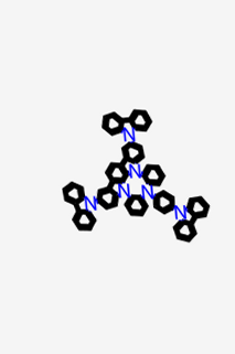 c1ccc2c(c1)c1ccccc1n2-c1ccc(-n2c3ccccc3n3c4ccc(-n5c6ccccc6c6ccccc65)cc4c4ccc5c6cc(-n7c8ccccc8c8ccccc87)ccc6n(c6ccccc62)c5c43)cc1